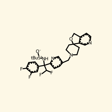 CC(C)(C)[S+]([O-])NC(c1ccc(F)c(F)c1)(c1ccc(CN2CCC3(CC2)OCc2ccncc23)cn1)C(F)F